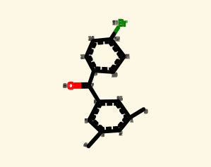 Cc1cc(C)cc(C(=O)c2ccc(Br)cc2)c1